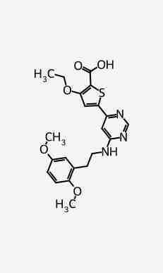 CCOc1cc(-c2cc(NCCc3cc(OC)ccc3OC)ncn2)sc1C(=O)O